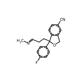 CN=CCCC1(c2ccc(F)cc2)OCc2cc(C#N)ccc21